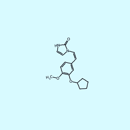 COc1ccc(/C=C\n2cc[nH]c2=O)cc1OC1CCCC1